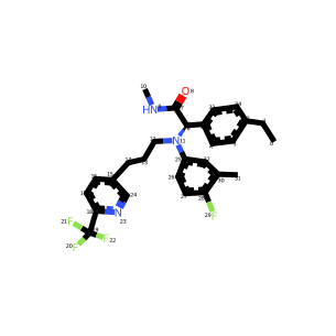 CCc1ccc([C@H](C(=O)NC)N(CCCc2ccc(C(F)(F)F)nc2)c2ccc(F)c(C)c2)cc1